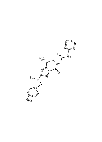 CCN(Cc1ccc(OC)cc1)c1nc2c(s1)C(=O)N(CC(=O)Nc1ncccn1)CC2C